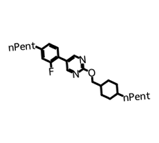 CCCCCc1ccc(-c2cnc(OCC3CCC(CCCCC)CC3)nc2)c(F)c1